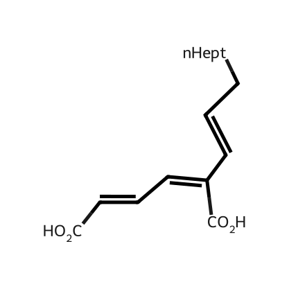 CCCCCCCCC=CC(=CC=CC(=O)O)C(=O)O